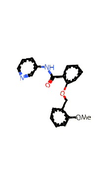 COc1ccccc1COc1ccccc1C(=O)Nc1cccnc1